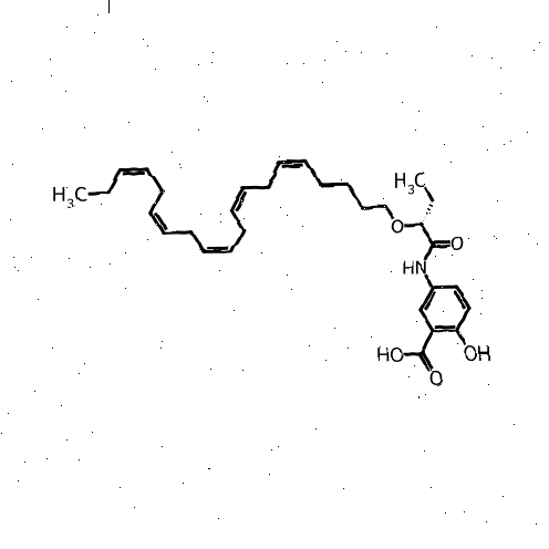 CC/C=C\C/C=C\C/C=C\C/C=C\C/C=C\CCCCO[C@H](CC)C(=O)Nc1ccc(O)c(C(=O)O)c1